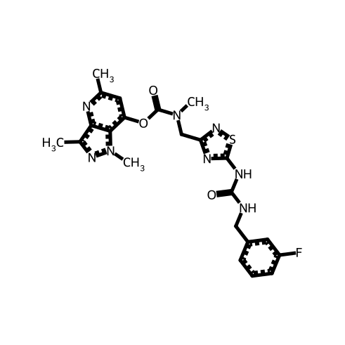 Cc1cc(OC(=O)N(C)Cc2nsc(NC(=O)NCc3cccc(F)c3)n2)c2c(n1)c(C)nn2C